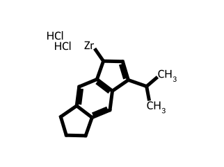 CC(C)C1=C[CH]([Zr])c2cc3c(cc21)CCC3.Cl.Cl